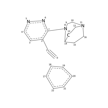 C#Cc1ccnnc1N1CCN2CCC1CC2.c1ccccc1